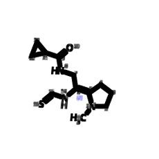 CN1CCC/C1=C(\CNC(=O)C1CC1)NC=S